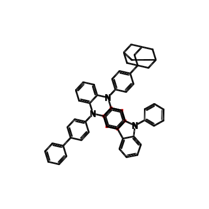 c1ccc(-c2ccc(N(c3ccccc3)c3ccccc3N(c3ccc(C45CC6CC(CC(C6)C4)C5)cc3)c3ccc4c5ccccc5n(-c5ccccc5)c4c3)cc2)cc1